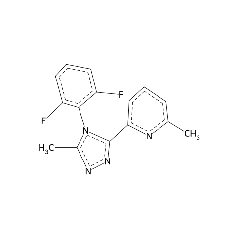 Cc1cccc(-c2nnc(C)n2-c2c(F)cccc2F)n1